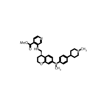 COC(=O)c1ccncc1NC[C@@H]1CCOc2cc(N(C)c3ccc(C4CCN(C)CC4)cc3)ccc21